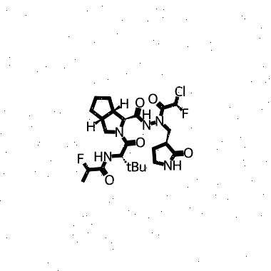 CC(F)C(=O)N[C@H](C(=O)N1C[C@@H]2CCC[C@@H]2[C@H]1C(=O)NN(C[C@@H]1CCNC1=O)C(=O)[C@H](F)Cl)C(C)(C)C